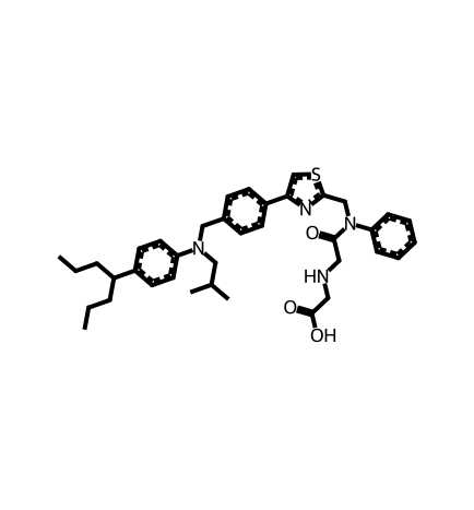 CCCC(CCC)c1ccc(N(Cc2ccc(-c3csc(CN(C(=O)CNCC(=O)O)c4ccccc4)n3)cc2)CC(C)C)cc1